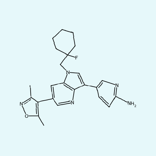 Cc1noc(C)c1-c1cnc2c(-c3ccc(N)nc3)cn(CC3(F)CCCCC3)c2c1